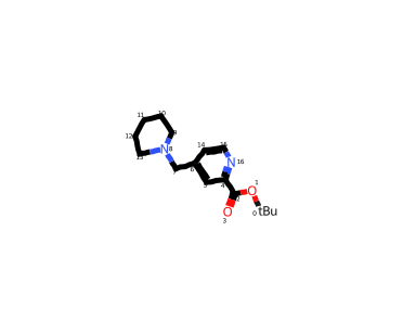 CC(C)(C)OC(=O)c1cc(CN2CCCCC2)ccn1